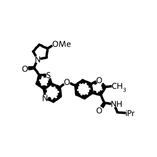 COC1CCN(C(=O)c2cc3nccc(Oc4ccc5c(C(=O)NCC(C)C)c(C)oc5c4)c3s2)C1